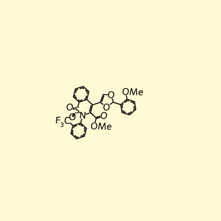 COC(=O)C1=C(C2=COC(c3ccccc3OC)O2)c2ccccc2S(=O)(=O)N1c1ccccc1C(F)(F)F